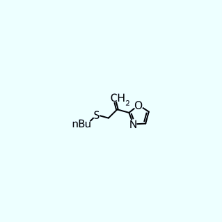 C=C(CSCCCC)c1ncco1